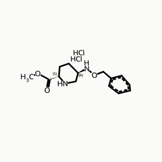 COC(=O)[C@@H]1CC[C@@H](NOCc2ccccc2)CN1.Cl.Cl